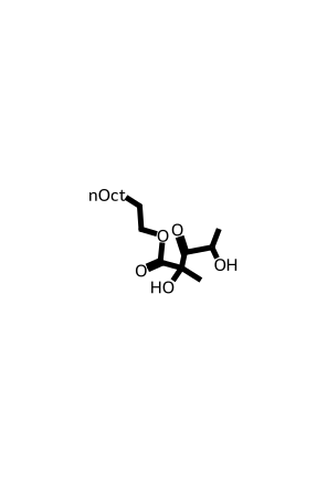 CCCCCCCCCCOC(=O)C(C)(O)C(=O)C(C)O